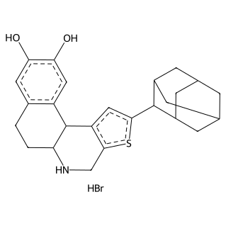 Br.Oc1cc2c(cc1O)C1c3cc(C4C5CC6CC(C5)CC4C6)sc3CNC1CC2